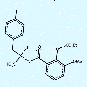 CCOC(=O)Oc1c(OC)ccnc1C(=O)NC(Cc1ccc(F)cc1)(C(=O)O)C(C)C